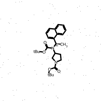 C[C@H](c1cccc2ccccc12)N(C(=O)OC(C)(C)C)C1CCN(C(=O)OC(C)(C)C)C1